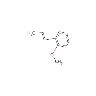 [CH2]C=Cc1ccccc1OC